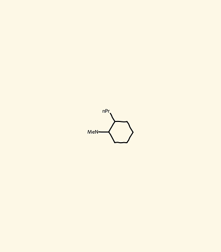 CCCC1CCCCC1NC